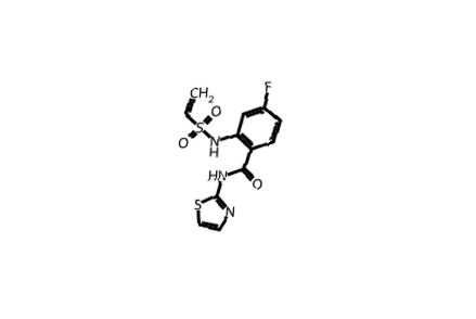 C=CS(=O)(=O)Nc1cc(F)ccc1C(=O)Nc1nccs1